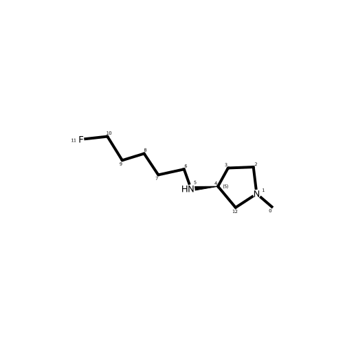 CN1CC[C@H](NCCCCCF)C1